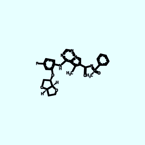 Cc1c(C(=O)N=[S@](C)(=O)c2ccccc2)cn2ncnc(Nc3ccc(F)cc3O[C@@H]3CO[C@@H]4CCO[C@@H]43)c12